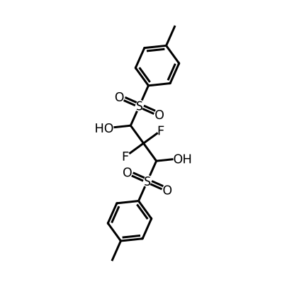 Cc1ccc(S(=O)(=O)C(O)C(F)(F)C(O)S(=O)(=O)c2ccc(C)cc2)cc1